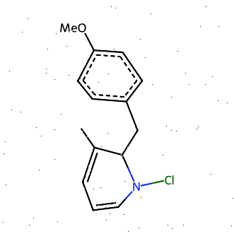 COc1ccc(CC2C(C)=CC=CN2Cl)cc1